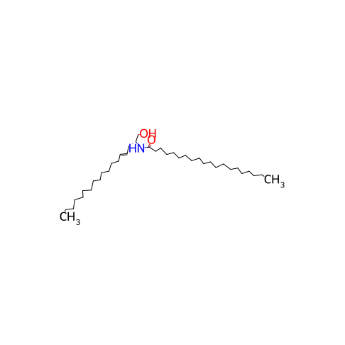 CCCCCCCCCCCCC/C=C/C[C@H](CO)NC(=O)CCCCCCCCCCCCCCCCCCC